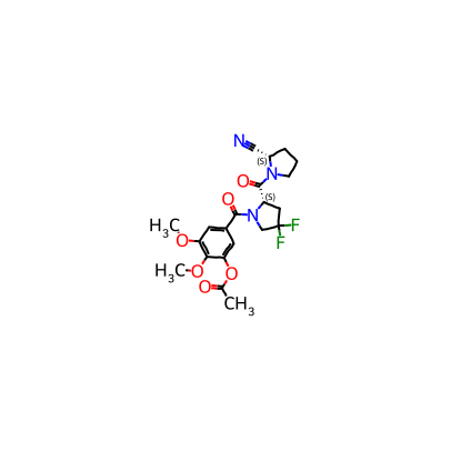 COc1cc(C(=O)N2CC(F)(F)C[C@H]2C(=O)N2CCC[C@H]2C#N)cc(OC(C)=O)c1OC